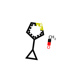 C=O.c1cc(C2CC2)cs1